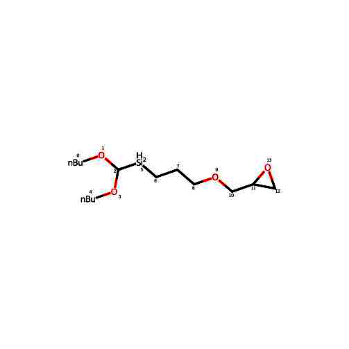 CCCCOC(OCCCC)[SiH2]CCCOCC1CO1